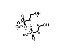 O=S(=O)([O-])CCO.O=S(=O)([O-])CCO.[Cu+2]